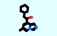 Cc1cc(C(O)CC2CCCCC2)c2cncn2c1